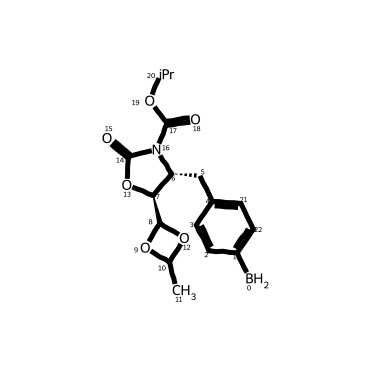 Bc1ccc(C[C@@H]2[C@@H](C3OC(C)O3)OC(=O)N2C(=O)OC(C)C)cc1